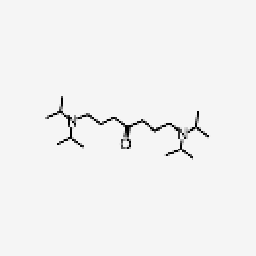 CC(C)N(CCCC(=O)CCCN(C(C)C)C(C)C)C(C)C